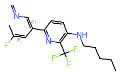 C=N/C=C(\C=C(/C)F)c1ccc(NCCCCC)c(C(F)(F)F)n1